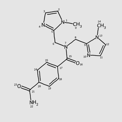 Cn1ccnc1CN(Cc1nccn1C)C(=O)c1ccc(C(N)=O)cc1